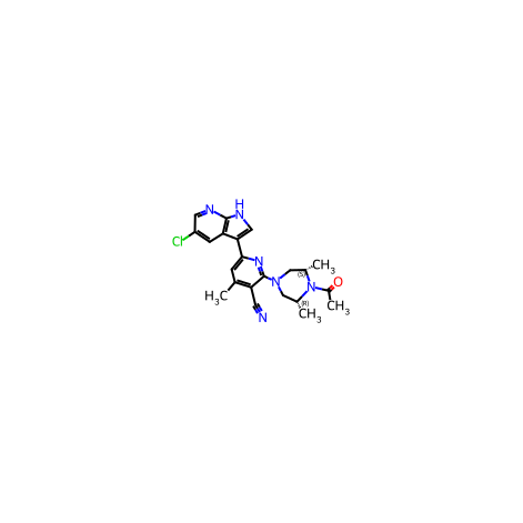 CC(=O)N1[C@H](C)CN(c2nc(-c3c[nH]c4ncc(Cl)cc34)cc(C)c2C#N)C[C@@H]1C